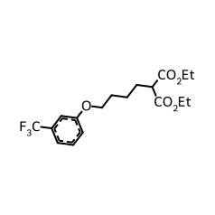 CCOC(=O)C(CCCCOc1cccc(C(F)(F)F)c1)C(=O)OCC